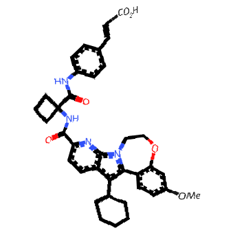 COc1ccc2c(c1)OCCn1c-2c(C2CCCCC2)c2ccc(C(=O)NC3(C(=O)Nc4ccc(C=CC(=O)O)cc4)CCC3)nc21